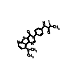 CC(I)C(=O)Nc1ccc(-n2cnc3c(sc4nccc(N(C)C)c43)c2=O)cc1